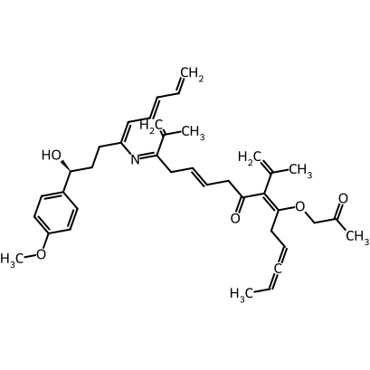 C=C/C=C/C=C(CC[C@H](O)c1ccc(OC)cc1)\N=C(\C/C=C/CC(=O)/C(C(=C)C)=C(\CC=C=CC)OCC(C)=O)C(=C)C